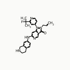 C=CCn1c(=O)c2cnc(Nc3ccc4c(c3)CNCC4)cc2n1-c1ccnc(C(C)(C)F)c1